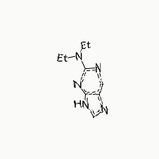 CCN(CC)c1ncc2nc[nH]c2n1